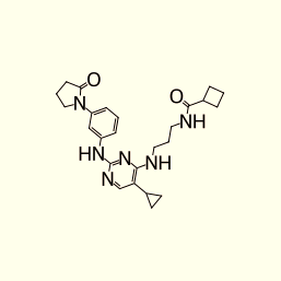 O=C(NCCCNc1nc(Nc2cccc(N3CCCC3=O)c2)ncc1C1CC1)C1CCC1